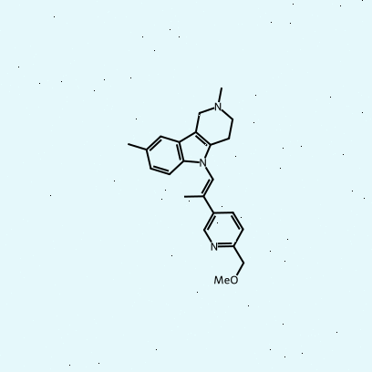 COCc1ccc(C(C)=Cn2c3c(c4cc(C)ccc42)CN(C)CC3)cn1